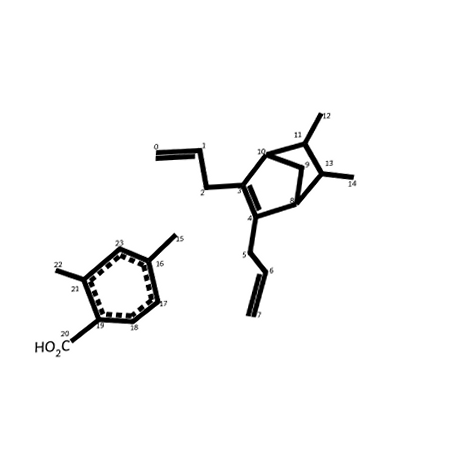 C=CCC1=C(CC=C)C2CC1C(C)C2C.Cc1ccc(C(=O)O)c(C)c1